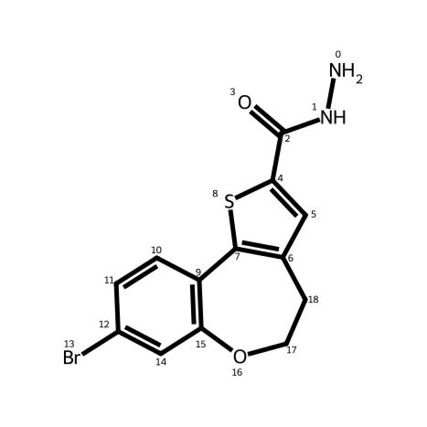 NNC(=O)c1cc2c(s1)-c1ccc(Br)cc1OCC2